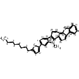 CCCCCCCCc1ccc(-c2ccc3c4ccc5c(ccc6c7ccccc7sc65)c4n(C)c3c2)s1